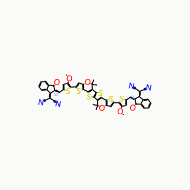 COc1cc(/C=C2\C(=O)c3ccccc3C2=C(C#N)C#N)sc1-c1cc2c(s1)-c1sc3c4c(sc3c1C(C)(C)O2)-c1sc(-c2sc(/C=C3\C(=O)c5ccccc5C3=C(C#N)C#N)cc2OC)cc1OC4(C)C